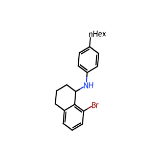 CCCCCCc1ccc(NC2CCCc3cccc(Br)c32)cc1